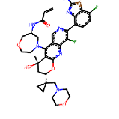 C=CC(=O)N[C@@H]1COCCN(c2c3c(nc4c(F)c(-c5ccc(F)c6sc(N)nc56)ncc24)O[C@H](C2(CN4CCOCC4)CC2)C[C@]3(C)O)C1